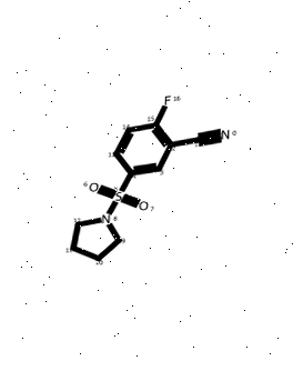 N#Cc1cc(S(=O)(=O)N2CCCC2)ccc1F